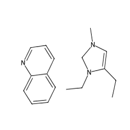 CCC1=CN(C)CN1CC.c1ccc2ncccc2c1